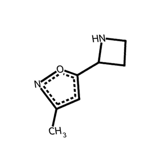 Cc1cc(C2CCN2)on1